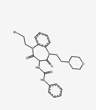 CC(C)CCN1C(=O)C(NC(=O)Nc2ccccc2)C(=O)N(CCN2CCOCC2)c2ccccc21